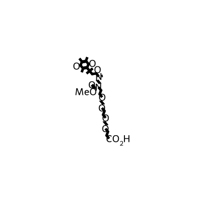 COC(=O)N(CCOCCOCCOCCOCCC(=O)O)CCN(C)C(=O)CC(C)(C)C1=C(C)C(=O)C(C)=C(C)C1=O